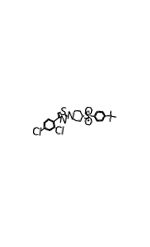 CC(C)(C)c1ccc(S(=O)(=O)C2CCN(c3nc(-c4ccc(Cl)cc4Cl)cs3)CC2)cc1